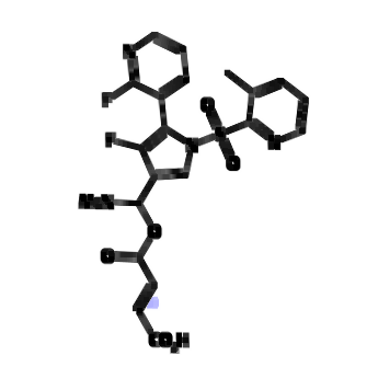 CNC(OC(=O)/C=C/C(=O)O)c1cn(S(=O)(=O)c2ncccc2C)c(-c2cccnc2F)c1F